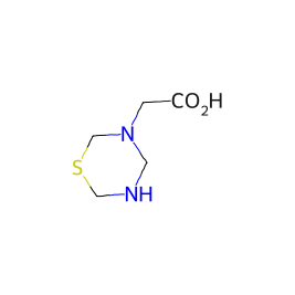 O=C(O)CN1CNCSC1